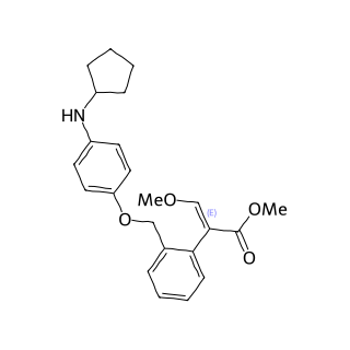 CO/C=C(/C(=O)OC)c1ccccc1COc1ccc(NC2CCCC2)cc1